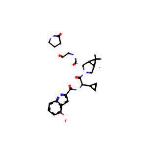 COc1cccc2[nH]c(C(=O)NC(C(=O)N3C[C@H]4[C@@H]([C@H]3C(=O)N[C@H](C=O)C[C@@H]3CCNC3=O)C4(C)C)C3CC3)cc12